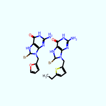 CCc1ccc(CN2c3nc(N)[nH]c(=O)c3NC2Br)s1.Nc1nc2c(c(=O)[nH]1)NC(Br)N2Cc1ccco1